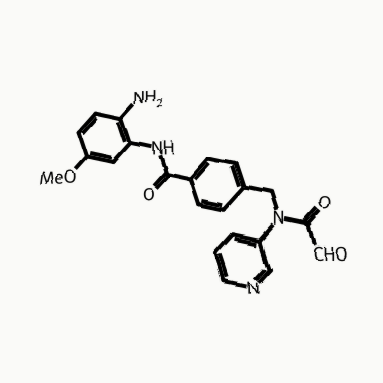 COc1ccc(N)c(NC(=O)c2ccc(CN(C(=O)C=O)c3cccnc3)cc2)c1